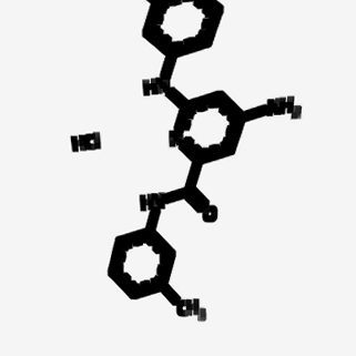 Cc1cccc(NC(=O)c2cc(N)cc(Nc3cccc(F)c3)n2)c1.Cl